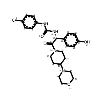 O=C(Nc1ccc(Cl)cc1)N[C@@H](C(=O)N1CCC(N2CCOCC2)CC1)c1ccc(O)cc1